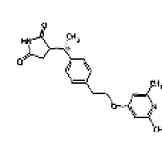 Cc1cc(OCCc2ccc([C@@H](C)C3CC(=O)NC3=O)cc2)cc(C)n1